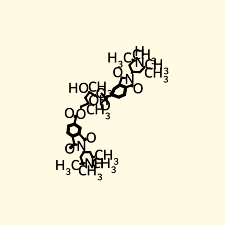 CC(O)(COC(=O)c1ccc2c(c1)C(=O)N(C1CC(C)(C)NC(C)(C)C1)C2=O)CC(C)(O)COC(=O)c1ccc2c(c1)C(=O)N(C1CC(C)(C)NC(C)(C)C1)C2=O